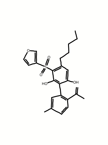 C=C(C)c1ccc(C)cc1-c1c(O)cc(CCCCC)c(S(=O)(=O)c2ccoc2)c1O